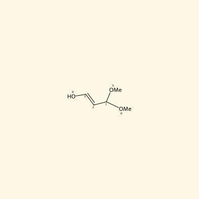 COC(C=CO)OC